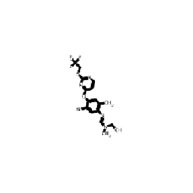 CCN(C)C=Nc1cc(Br)c(Oc2ccnc(SCC(F)(F)F)n2)cc1C